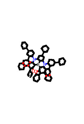 c1ccc(-c2ccc(N3c4cc(-c5ccccc5)cc5c4B(c4c3cc(-c3ccccc3)c3c4oc4ccccc43)c3c(cc(-c4ccccc4)c4c3oc3ccccc34)N5c3ccc(-c4ccccc4)cc3-c3ccccc3)c(-c3ccccc3)c2)cc1